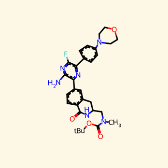 CN(CC1Cc2cc(-c3nc(-c4ccc(N5CCOCC5)cc4)c(F)nc3N)ccc2C(=O)N1)C(=O)OC(C)(C)C